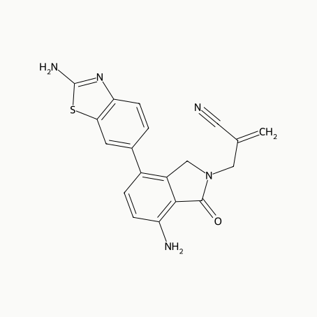 C=C(C#N)CN1Cc2c(-c3ccc4nc(N)sc4c3)ccc(N)c2C1=O